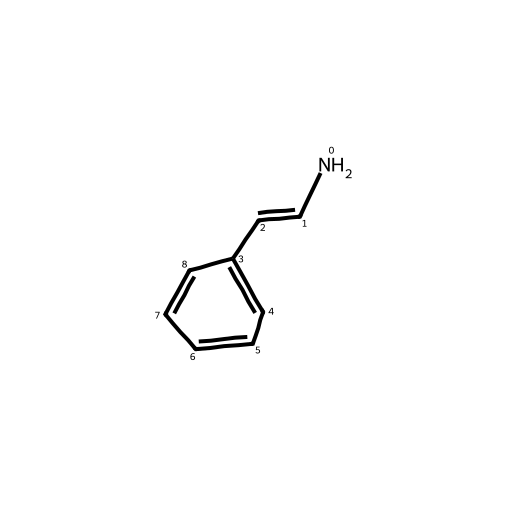 N/C=C/c1ccccc1